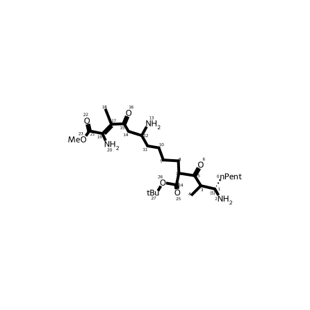 CCCCC[C@H](N)C(C)C(=O)C(CCCCC(N)CC(=O)C(C)=C(N)C(=O)OC)C(=O)OC(C)(C)C